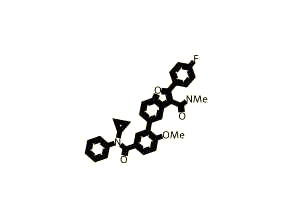 CNC(=O)c1c(-c2ccc(F)cc2)oc2ccc(-c3cc(C(=O)N(c4ccccc4)C4CC4)ccc3OC)cc12